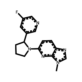 Cn1cnc2ccc(N3CCCC3c3cncc(F)c3)nc21